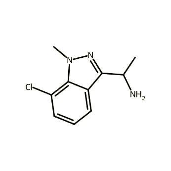 CC(N)c1nn(C)c2c(Cl)cccc12